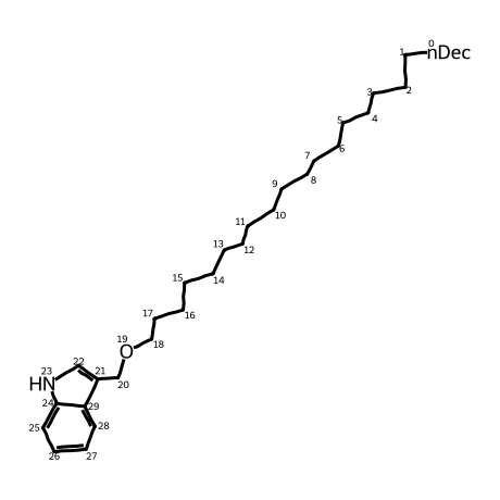 CCCCCCCCCCCCCCCCCCCCCCCCCCCCOCc1c[nH]c2ccccc12